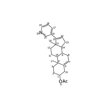 CC(=O)OC1CCC2(C)C(=CCC3C2CCC2(C)C(c4cccnc4)=CCC32)C1